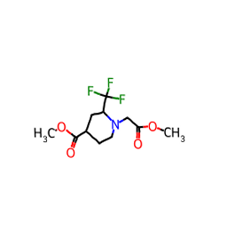 COC(=O)CN1CCC(C(=O)OC)CC1C(F)(F)F